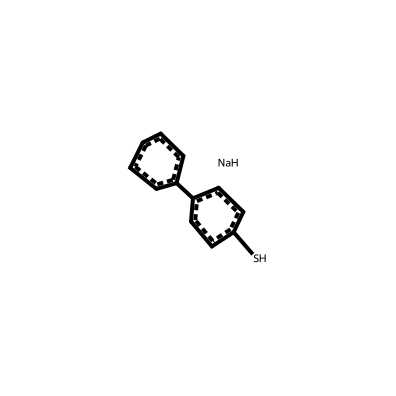 Sc1ccc(-c2ccccc2)cc1.[NaH]